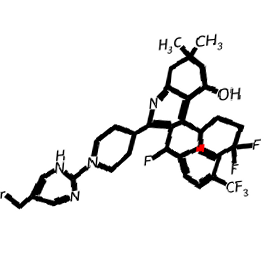 CC(C)CC1=CNC(N2CCC(c3nc4c(c(C5CCC(F)(F)CC5)c3C(F)c3ccc(C(F)(F)F)cc3)C(O)CC(C)(C)C4)CC2)N=C1